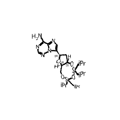 CC(C)[Si]1(C(C)C)OC[C@H]2O[C@@H](c3cnc4c(N)ncnn34)C[C@@H]2O[Si](C(C)C)(C(C)C)O1